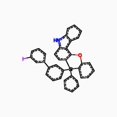 Ic1cccc(-c2cccc([Si]3(c4ccccc4)c4ccccc4Oc4c3ccc3[nH]c5ccccc5c43)c2)c1